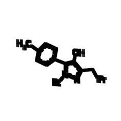 CCn1nc(CC(C)C)c(O)c1-c1ccc(C)cc1